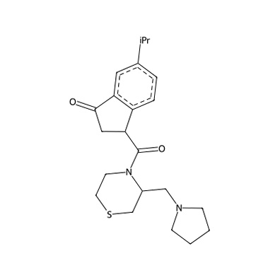 CC(C)c1ccc2c(c1)C(=O)CC2C(=O)N1CCSCC1CN1CCCC1